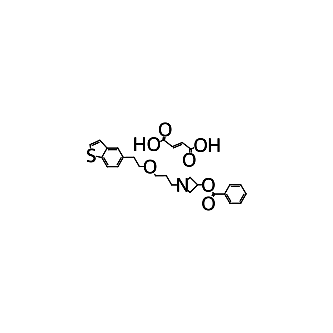 O=C(O)C=CC(=O)O.O=C(OC1CN(CCCOCCc2ccc3sccc3c2)C1)c1ccccc1